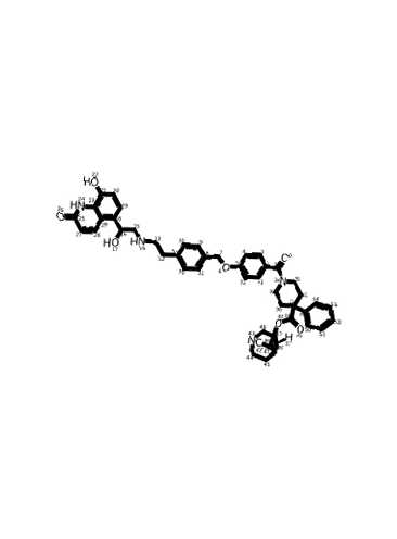 O=C(c1ccc(OCc2ccc(CCNCC(O)c3ccc(O)c4[nH]c(=O)ccc34)cc2)cc1)N1CCC(C(=O)O[C@H]2CN3CCC2CC3)(c2ccccc2)CC1